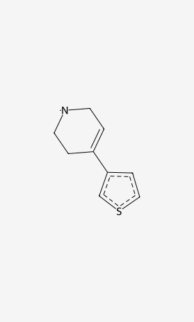 C1=C(c2ccsc2)CC[N]C1